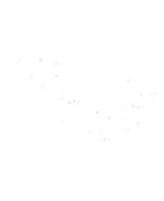 CC(C)(C)C(CNC(=O)O)c1nc(C(=O)NCCc2ccc(F)cc2)cs1